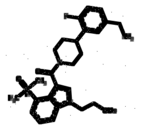 COCCn1cc(C(=O)N2CCC(c3cc(CN)ccc3F)CC2)c2c([SH](C)(C)=O)cccc21